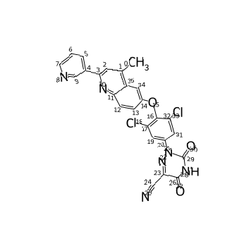 Cc1cc(-c2cccnc2)nc2ccc(Oc3c(Cl)cc(-n4nc(C#N)c(=O)[nH]c4=O)cc3Cl)cc12